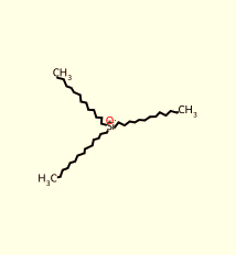 CCCCCCCCCCCCCC[Si]([O])(CCCCCCCCCCCCCC)CCCCCCCCCCCCCC